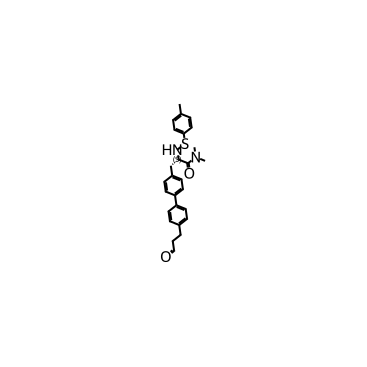 Cc1ccc(SN[C@@H](Cc2ccc(-c3ccc(CCC=O)cc3)cc2)C(=O)N(C)C)cc1